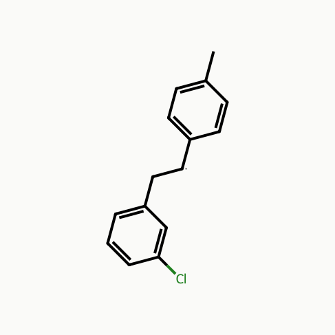 Cc1ccc([CH]Cc2cccc(Cl)c2)cc1